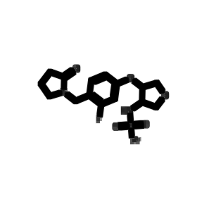 CC(C)S(=O)(=O)NC1COCC1Oc1ccc(CN2CCCC2=O)c(F)c1